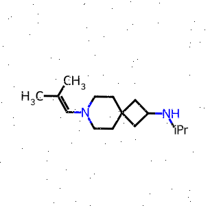 CC(C)=CN1CCC2(CC1)CC(NC(C)C)C2